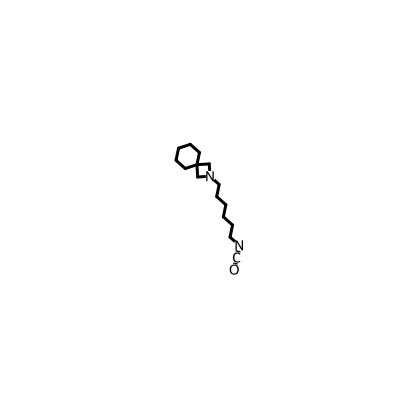 O=C=NCCCCCCN1CC2(CCCCC2)C1